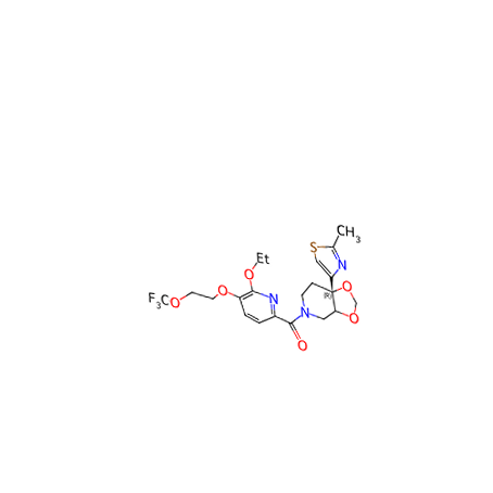 CCOc1nc(C(=O)N2CC[C@]3(c4csc(C)n4)OCOC3C2)ccc1OCCOC(F)(F)F